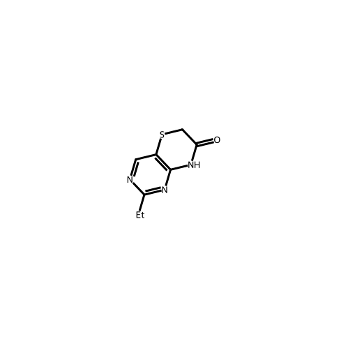 CCc1ncc2c(n1)NC(=O)CS2